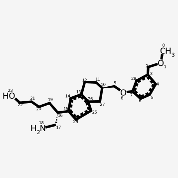 COCc1cccc(OC[C@@H]2CCc3cc([C@H](CN)CCCCO)ccc3C2)c1